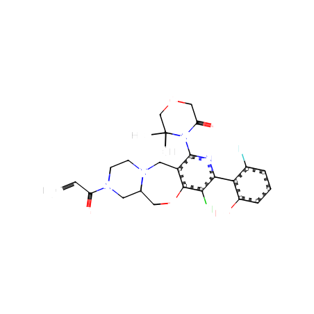 C=CC(=O)N1CCN2Cc3c(N4C(=O)COCC4(C)C)nc(-c4c(O)cccc4F)c(Cl)c3OCC2C1